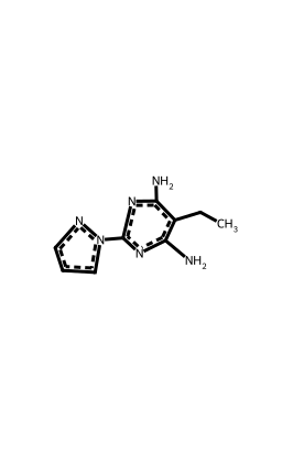 CCc1c(N)nc(-n2cccn2)nc1N